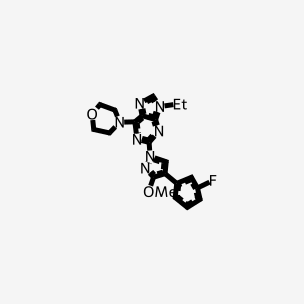 CCn1cnc2c(N3CCOCC3)nc(-n3cc(-c4cccc(F)c4)c(OC)n3)nc21